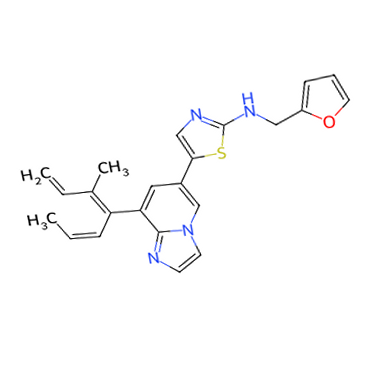 C=C/C(C)=C(\C=C/C)c1cc(-c2cnc(NCc3ccco3)s2)cn2ccnc12